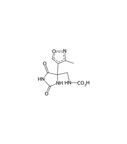 Cc1nocc1C1(CNC(=O)O)NC(=O)NC1=O